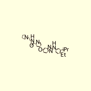 CCc1ccc(Nc2nc3cc(Oc4ccnc(C(=O)NCCN5CCCC5)c4)ccc3n2C)cc1C(C)C